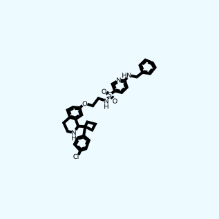 O=S(=O)(NCCOc1ccc2c(c1)C(C1(c3ccc(Cl)cc3)CCC1)NCC2)c1ccc(NCc2ccccc2)nc1